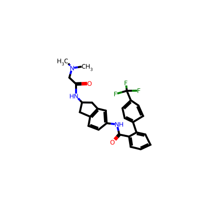 CN(C)CC(=O)NC1Cc2ccc(NC(=O)c3ccccc3-c3ccc(C(F)(F)F)cc3)cc2C1